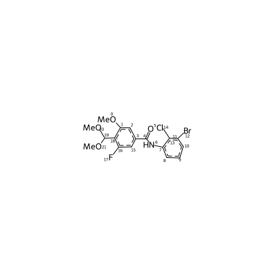 COc1cc(C(=O)Nc2cccc(Br)c2Cl)cc(F)c1C(OC)OC